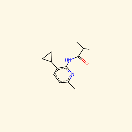 Cc1ccc(C2CC2)c(NC(=O)C(C)C)n1